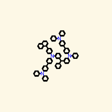 c1ccc(C(c2cccc(N(c3ccccc3)c3ccc(-c4ccc(N(c5ccccc5)c5ccccc5)cc4)cc3)c2)c2cccc(N(c3ccc(-c4ccc(N(c5ccccc5)c5ccccc5)cc4)cc3)c3ccc(-c4cccc5ccccc45)cc3)c2)cc1